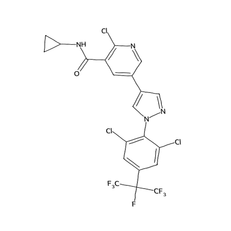 O=C(NC1CC1)c1cc(-c2cnn(-c3c(Cl)cc(C(F)(C(F)(F)F)C(F)(F)F)cc3Cl)c2)cnc1Cl